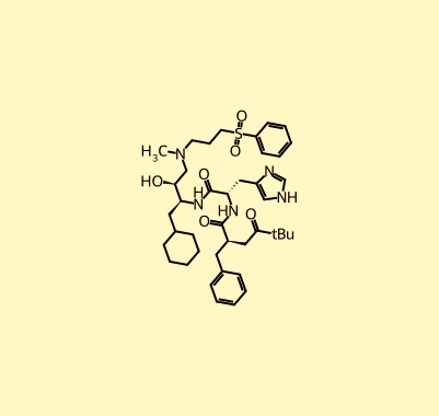 CN(CCCS(=O)(=O)c1ccccc1)C[C@H](O)[C@H](CC1CCCCC1)NC(=O)[C@H](Cc1c[nH]cn1)NC(=O)[C@@H](CC(=O)C(C)(C)C)Cc1ccccc1